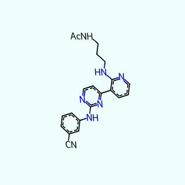 CC(=O)NCCCNc1ncccc1-c1ccnc(Nc2cccc(C#N)c2)n1